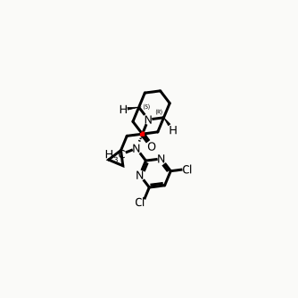 CN(c1nc(Cl)cc(Cl)n1)[C@H]1C[C@H]2CCC[C@@H](C1)N2C(=O)CC1CC1